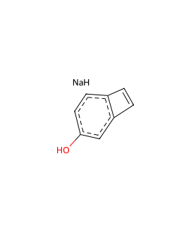 Oc1ccc2c(c1)C=C2.[NaH]